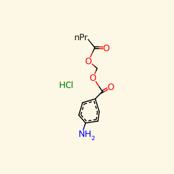 CCCC(=O)OCOC(=O)c1ccc(N)cc1.Cl